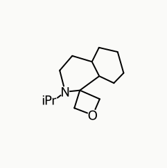 CC(C)N1CCC2CCCCC2C12COC2